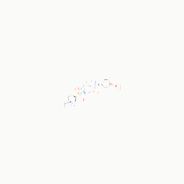 O=C1N(c2ccc(OC(F)(F)F)cc2)CCC12CCN(S(=O)(=O)c1ccc(Cl)nc1)CC2